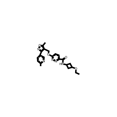 CCOC1CC(NC(=O)c2ccc(OCc3c(-c4ccc(C)nc4)noc3C)nn2)C1